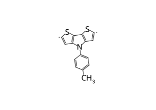 Cc1ccc(-n2c3c[c]sc3c3s[c]cc32)cc1